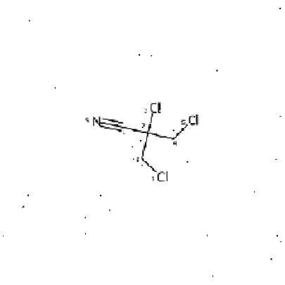 N#CC(Cl)(CCl)CCl